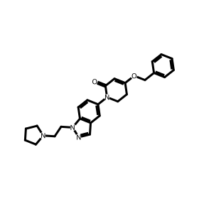 O=C1C=C(OCc2ccccc2)CCN1c1ccc2c(cnn2CCN2CCCC2)c1